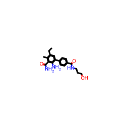 CCc1cc(-c2ccc(C(=O)NCCCO)cc2)c(N)c(C(N)=O)c1C